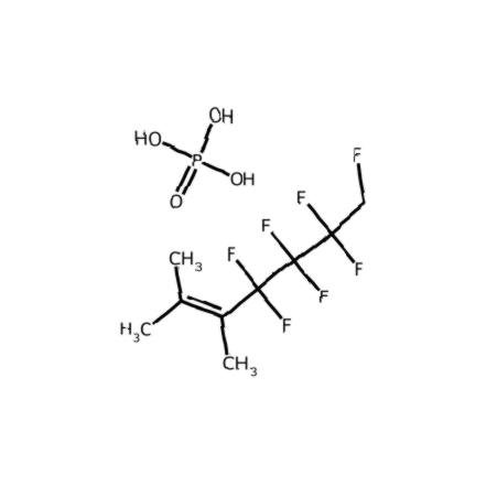 CC(C)=C(C)C(F)(F)C(F)(F)C(F)(F)CF.O=P(O)(O)O